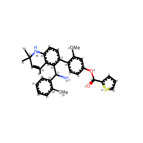 COc1cc(OC(=O)c2cccs2)ccc1-c1ccc2c(c1C(N)c1ccccc1OC)C(C)=CC(C)(C)N2